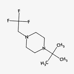 CC(C)(C)N1CCN(CC(F)(F)F)CC1